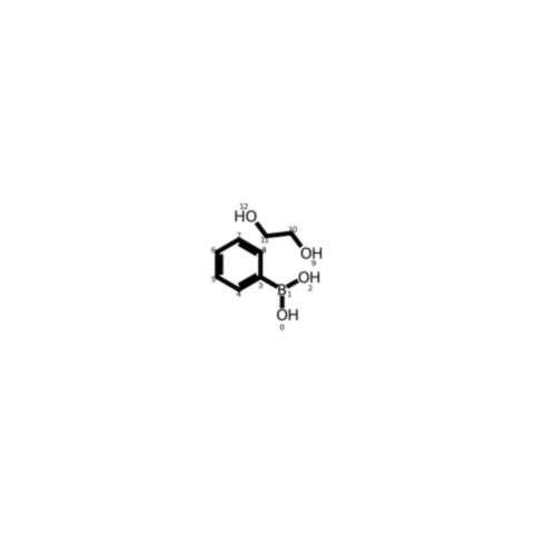 OB(O)c1ccccc1.OCCO